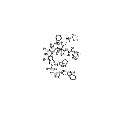 CC(C)[C@H](NC(=O)[C@H](Cc1c[nH]c2ccccc12)NC(=O)[C@@H](NC(=O)[C@@H](NC(=O)[C@@H](N)Cc1c[nH]c2ccccc12)C(C)C)C(C)C)C(=O)N[C@H](C(=O)N[C@@H](Cc1c[nH]c2ccccc12)C(=O)N[C@@H](CCCNC(=N)N)C(=O)N[C@@H](CCCNC(=N)N)C(=O)N[C@@H](CCCNC(=N)N)C(=O)O)C(C)C